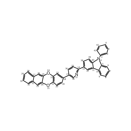 c1ccc(-n2c3ccccc3c3cc(-c4ccc(-c5ccc6c(c5)Oc5cc7ccccc7cc5O6)cn4)ccc32)cc1